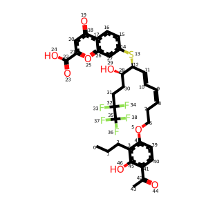 CCCc1c(OCC/C=C\C=C\[C@H](Sc2ccc3c(=O)cc(C(=O)O)oc3c2)[C@H](O)CCC(F)(F)C(F)(F)F)ccc(C(C)=O)c1O